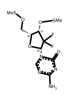 CSOC[C@H]1O[C@@H](n2cnc(N)nc2=O)C(F)(F)[C@H]1OSC